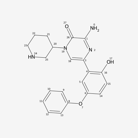 Nc1nc(-c2cc(Oc3ccccc3)ccc2O)cn(C2CCCNC2)c1=O